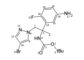 CC(C)(C)OC(=O)NC(C)(Cn1cc(Br)cn1)c1cc(N)ccc1F